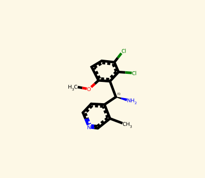 COc1ccc(Cl)c(Cl)c1[C@@H](N)c1ccncc1C